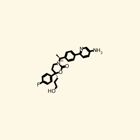 C[C@@H](c1ccc(-c2ccc(N)cn2)cc1)N1CC[C@](CCCO)(c2ccc(F)cc2)OC1=O